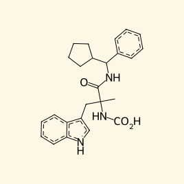 CC(Cc1c[nH]c2ccccc12)(NC(=O)O)C(=O)NC(c1ccccc1)C1CCCC1